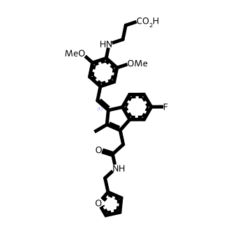 COc1cc(/C=C2/C(C)=C(CC(=O)NCc3ccco3)c3cc(F)ccc32)cc(OC)c1NCCC(=O)O